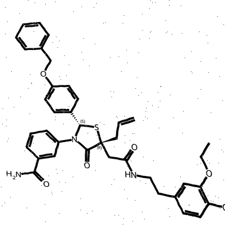 C=CC[C@]1(CC(=O)NCCc2ccc(OC)c(OCC)c2)S[C@@H](c2ccc(OCc3ccccc3)cc2)N(c2cccc(C(N)=O)c2)C1=O